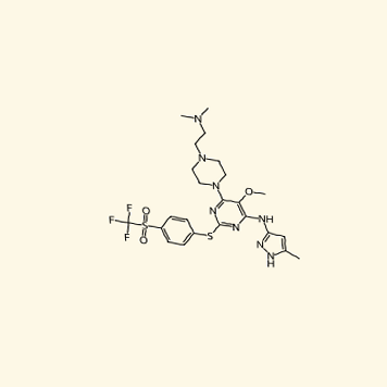 COc1c(Nc2cc(C)[nH]n2)nc(Sc2ccc(S(=O)(=O)C(F)(F)F)cc2)nc1N1CCN(CCN(C)C)CC1